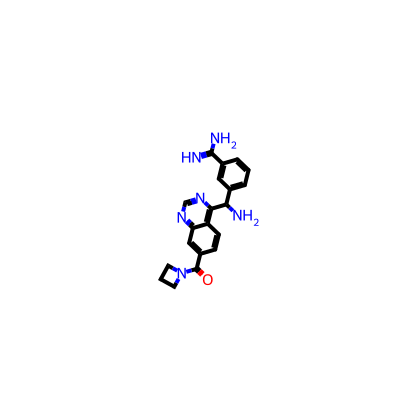 N=C(N)c1cccc(C(N)c2ncnc3cc(C(=O)N4CCC4)ccc23)c1